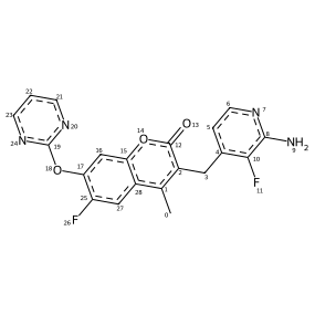 Cc1c(Cc2ccnc(N)c2F)c(=O)oc2cc(Oc3ncccn3)c(F)cc12